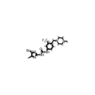 Cc1nc(NC(=O)Nc2ccc(CN3CCN(C)CC3)c(C(F)(F)F)c2)sc1Br